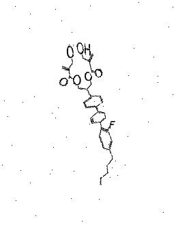 C=C(CO)C(=O)OCC(COC(=O)C(=C)COC)c1ccc(-c2ccc(-c3ccc(CCCCC)cc3F)cc2)cc1